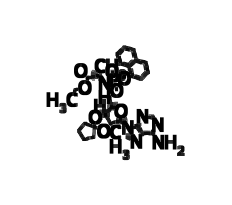 CCOC(=O)[C@H](C)NP(=O)(OC[C@H]1O[C@@H](n2cnc3c(N)ncnc32)C2(C)OC3(CCCC3)O[C@@H]12)Oc1cccc2ccccc12